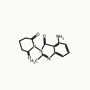 Cc1nc2cccc(N)c2c(=O)n1N1C(=O)CCCC1=O